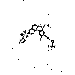 COc1cc(C#C[C@H]2CC2C(F)(F)F)c(F)cc1-n1c(=O)ccc2cc(S(=O)(=O)Nc3ccon3)ccc21